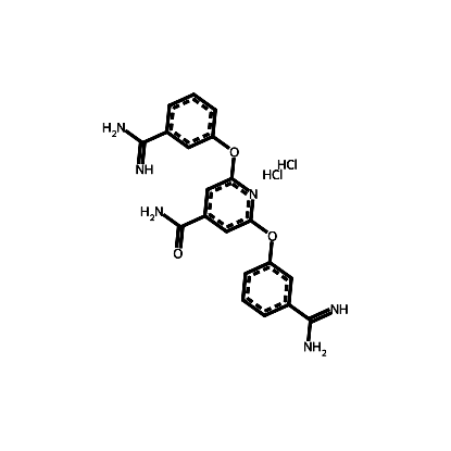 Cl.Cl.N=C(N)c1cccc(Oc2cc(C(N)=O)cc(Oc3cccc(C(=N)N)c3)n2)c1